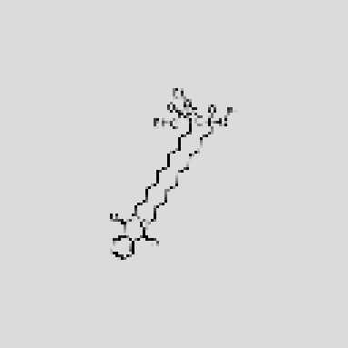 CCOP(=O)(CCCCCCCCCCCOC(=O)c1ccccc1C(=O)OCCCCCCCCCCCP(=O)(OCC)OCC)OCC